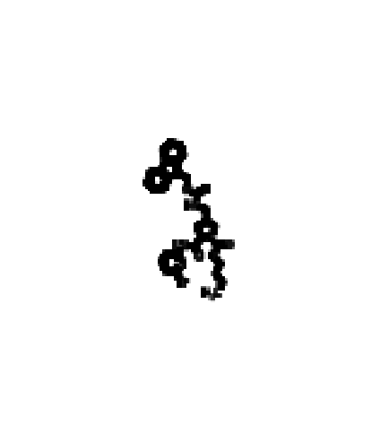 CCCCOC(=O)N1CC(CNC(=O)OCC2c3ccccc3-c3ccccc32)CC1C(=O)Nc1cccc(Br)n1